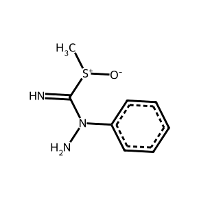 C[S+]([O-])C(=N)N(N)c1ccccc1